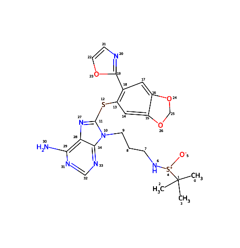 CC(C)(C)[S+]([O-])NCCCn1c(Sc2cc3c(cc2-c2ncco2)OCO3)nc2c(N)ncnc21